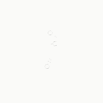 O=c1cc(CN2CCc3ccccc3C2)occ1OCC1CC2(C1)CN(S(=O)(=O)c1ccc(F)cc1)C2